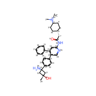 CC(=O)N(C)[C@H]1CC[C@H](CC(=O)Nc2cc(-c3ccccc3)c(-c3ccc([C@]4(N)C[C@](C)(O)C4)cc3)cn2)CC1